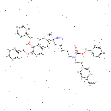 CCC[C@](N)(CCCCCN(CCc1ccc(NC(C)=O)cc1)C(=O)OCc1ccccc1)C1CCc2c(ccc(OCc3ccccc3)c2OCc2ccccc2)C1